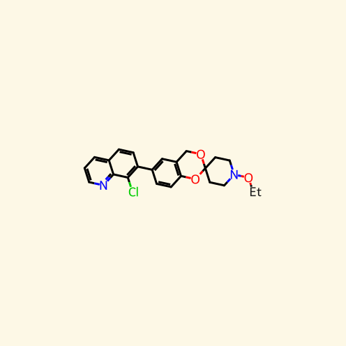 CCON1CCC2(CC1)OCc1cc(-c3ccc4cccnc4c3Cl)ccc1O2